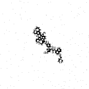 CC(C)(C)c1cc(NC(=O)Nc2ccc(OCCN3CCOCC3)c3ccccc23)n(-c2cccc(CNC(=O)c3ccc4c(c3)C3(OC4=O)c4cc5c6c(c4Oc4c3cc3c7c4CCCN7CCCC3)CCCN6CCCC5)c2)n1